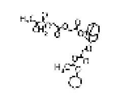 C=C(C)C(=O)OCC(=O)OCC(=O)OC12CC3CC(CC(OCC(=O)OC(C)OC4CCCCC4)(C3)C1)C2